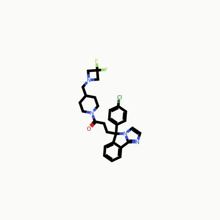 O=C(CCC1(c2ccc(Cl)cc2)c2ccccc2-c2nccn21)N1CCC(CN2CC(F)(F)C2)CC1